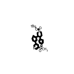 CC(C)(C)OC(=O)N1CCC(c2ccccc2)C(c2cccc(-c3cncc(S(C)(=O)=O)c3)c2)C1